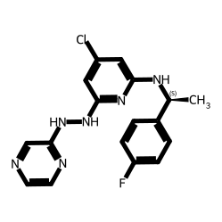 C[C@H](Nc1cc(Cl)cc(NNc2cnccn2)n1)c1ccc(F)cc1